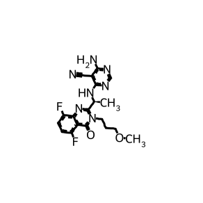 COCCCn1c([C@H](C)Nc2ncnc(N)c2C#N)nc2c(F)ccc(F)c2c1=O